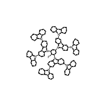 Fc1c(-n2c3ccc(-n4c5ccccc5c5ccccc54)cc3c3cc(-n4c5ccccc5c5ccccc54)ccc32)cc(-n2c3ccc(-n4c5ccccc5c5ccccc54)cc3c3cc(-n4c5ccccc5c5ccccc54)ccc32)cc1-n1c2ccc(-n3c4ccccc4c4ccccc43)cc2c2cc(-n3c4ccccc4c4ccccc43)ccc21